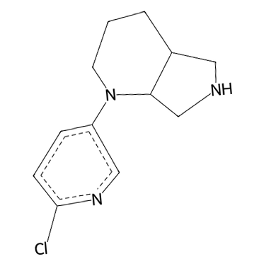 Clc1ccc(N2CCCC3CNCC32)cn1